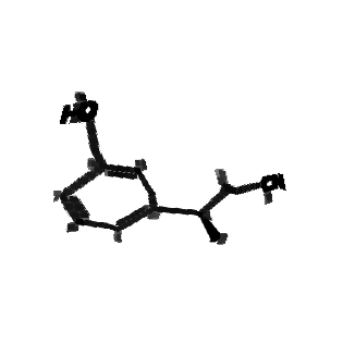 C[C@H](CC#N)c1cccc(O)c1